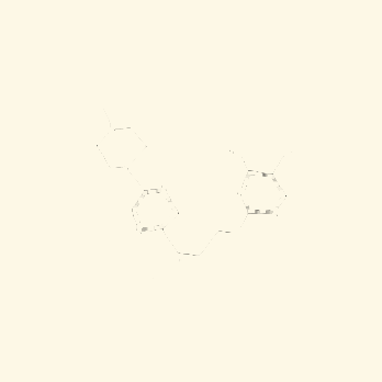 CC(C)c1cnc(SCC[C@H](C)c2cnc(N3CCN(C)CC3)cn2)nc1C#N